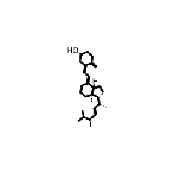 C=C1CC[C@H](O)C/C1=C/C=C1\CCC[C@]2(C)[C@@H]([C@H](C)/C=C/[C@@H](C)C(C)C)CC[C@@H]12